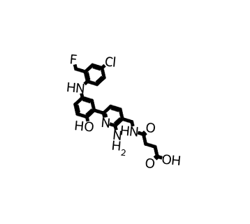 Nc1nc(-c2cc(Nc3ccc(Cl)cc3CF)ccc2O)ccc1CNC(=O)CCC(=O)O